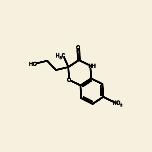 CC1(CCO)Oc2ccc([N+](=O)[O-])cc2NC1=O